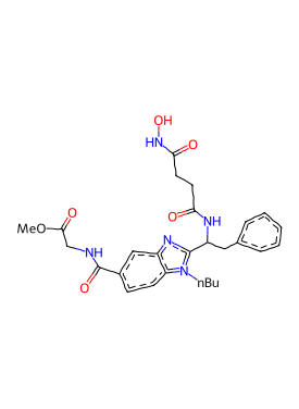 CCCCn1c(C(Cc2ccccc2)NC(=O)CCC(=O)NO)nc2cc(C(=O)NCC(=O)OC)ccc21